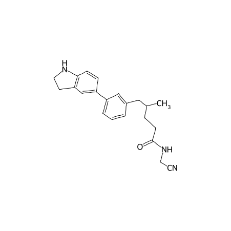 CC(CCC(=O)NCC#N)Cc1cccc(-c2ccc3c(c2)CCN3)c1